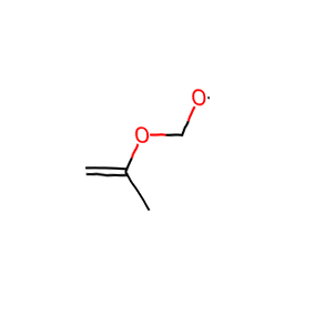 C=C(C)OC[O]